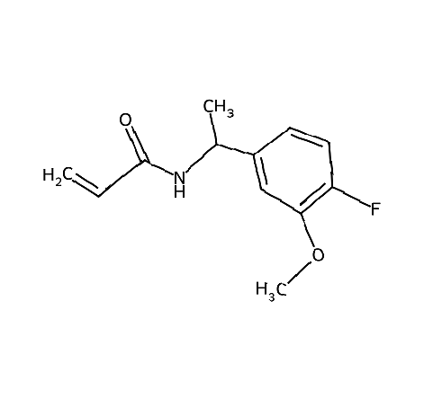 C=CC(=O)NC(C)c1ccc(F)c(OC)c1